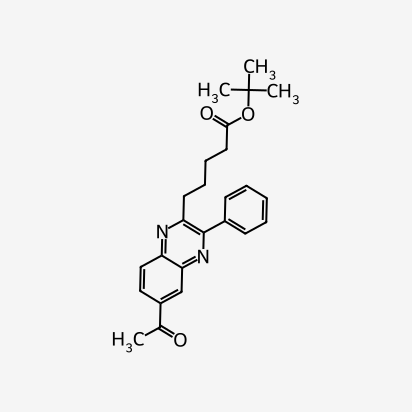 CC(=O)c1ccc2nc(CCCCC(=O)OC(C)(C)C)c(-c3ccccc3)nc2c1